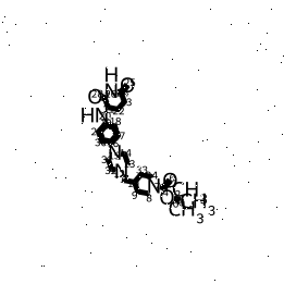 CC(C)(C)OC(=O)N1CCC(CN2CCN(c3ccc(NC4CCC(=O)NC4=O)cc3)CC2)CC1